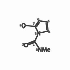 CNC(=O)n1cccc1[O]